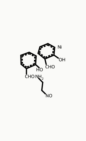 NCCN=O.O=Cc1ccccc1O.O=Cc1ccccc1O.[Ni]